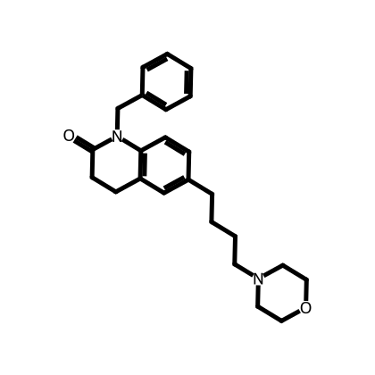 O=C1CCc2cc(CCCCN3CCOCC3)ccc2N1Cc1ccccc1